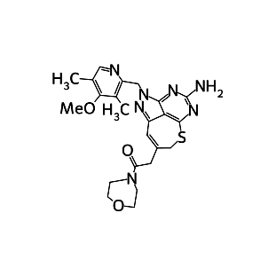 COc1c(C)cnc(Cn2nc3c4c(nc(N)nc42)SCC(CC(=O)N2CCOCC2)=C3)c1C